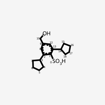 O=S(=O)(O)c1c(C2CCCC2)cc(CO)cc1C1CCCC1